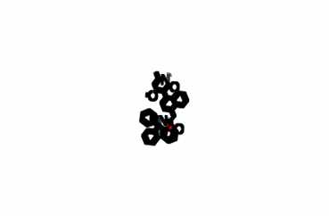 COc1cc(C)n(C)c(=O)c1-c1ccc(C[C@H](NC(c2ccccc2)(c2ccccc2)c2ccccc2)C(=O)O)c2ccccc12